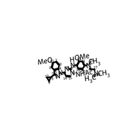 COc1ccc2c(c1)c(C1CC1)nn2-c1ccnc(Nc2cc(NC(C)=O)c(N(C)CCN(C)C)cc2OC)n1